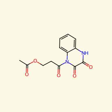 CC(=O)OCCC(=O)n1c(=O)c(=O)[nH]c2ccccc21